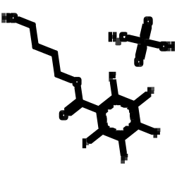 CS(=O)(=O)O.O=C(OCCCCO)c1c(F)c(F)c(F)c(F)c1F